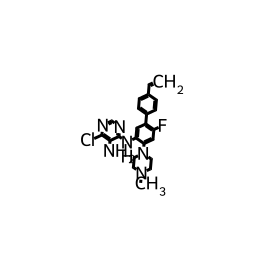 C=Cc1ccc(-c2cc(Nc3ncnc(Cl)c3N)c(N3CCN(C)CC3)cc2F)cc1